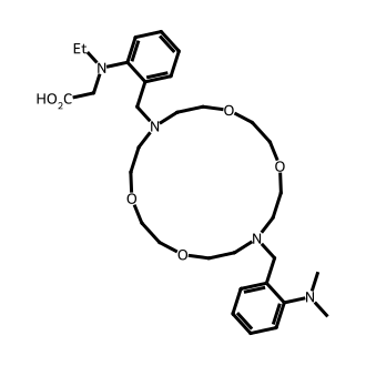 CCN(CC(=O)O)c1ccccc1CN1CCOCCOCCN(Cc2ccccc2N(C)C)CCOCCOCC1